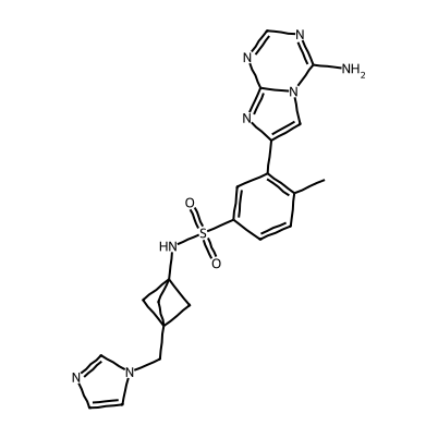 Cc1ccc(S(=O)(=O)NC23CC(Cn4ccnc4)(C2)C3)cc1-c1cn2c(N)ncnc2n1